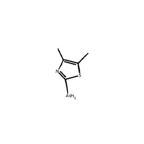 Cc1nc([AsH2])sc1C